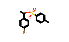 Cc1ccc(S(=O)(=O)OC(C)c2ccc(Br)cc2)cc1